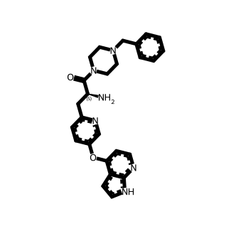 N[C@@H](Cc1ccc(Oc2ccnc3[nH]ccc23)cn1)C(=O)N1CCN(Cc2ccccc2)CC1